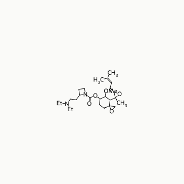 CCN(CC)CCC1CCN1C(=O)O[C@@H]1CC[C@]2(CO2)C([C@@]2(C)O[C@@H]2CC=C(C)C)[C@@H]1OC